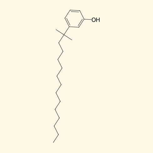 CCCCCCCCCCCCCC(C)(C)c1cccc(O)c1